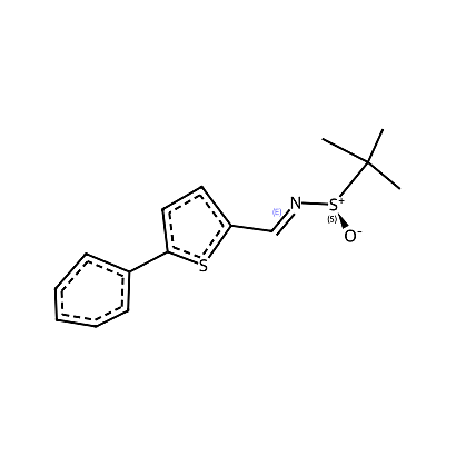 CC(C)(C)[S@@+]([O-])/N=C/c1ccc(-c2ccccc2)s1